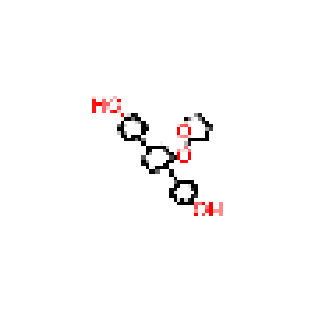 Oc1ccc(-c2ccc(-c3ccc(O)cc3)c(OC3CCCCO3)c2)cc1